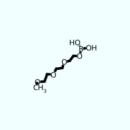 COCCOCCOCCOB(O)O